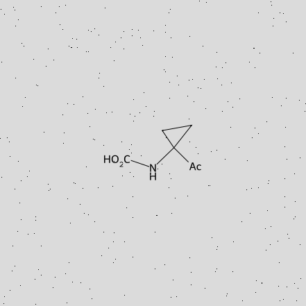 CC(=O)C1(NC(=O)O)CC1